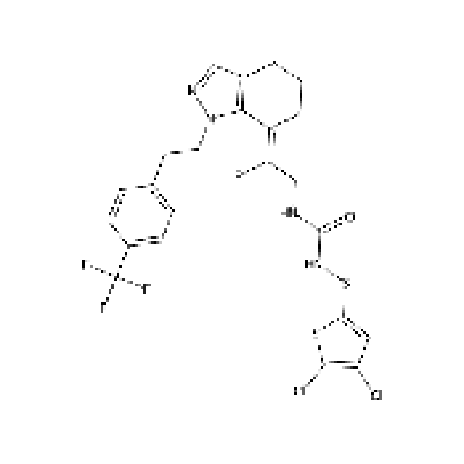 O=C(NC/C(F)=C1\CCCc2cnn(CCc3ccc(C(F)(F)F)cc3)c21)NSc1cc(Cl)c(Cl)s1